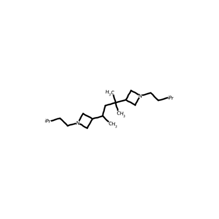 CC(C)CCN1CC(C(C)CC(C)(C)C2CN(CCC(C)C)C2)C1